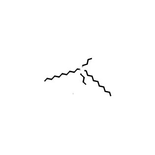 CCCCCCCCCC[P+](CCCC)(CCCC)CCCCCCCCCC.[Cl-]